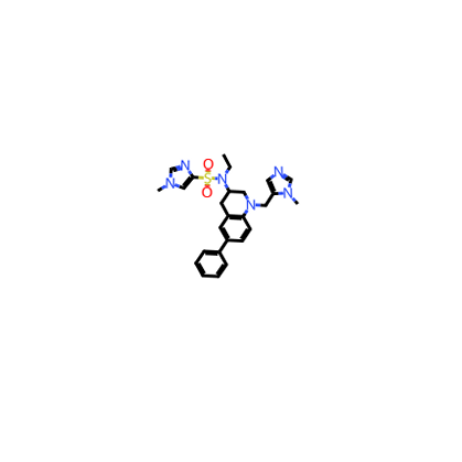 CCN(C1Cc2cc(-c3ccccc3)ccc2N(Cc2cncn2C)C1)S(=O)(=O)c1cn(C)cn1